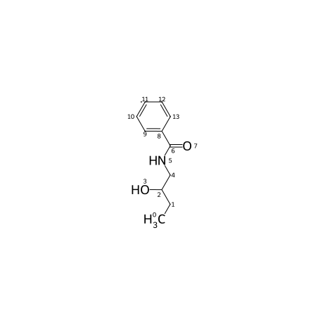 CCC(O)CNC(=O)c1cc[c]cc1